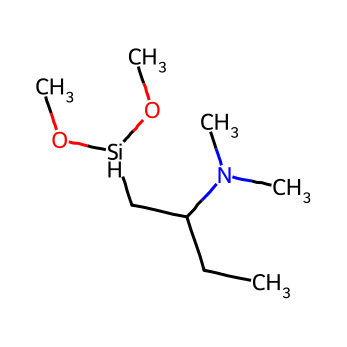 CCC(C[SiH](OC)OC)N(C)C